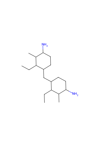 CCC1C(CC2CCC(N)C(C)C2CC)CCC(N)C1C